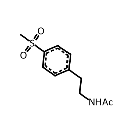 [CH2]C(=O)NCCc1ccc(S(C)(=O)=O)cc1